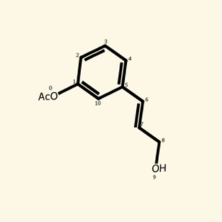 CC(=O)Oc1cccc(C=CCO)c1